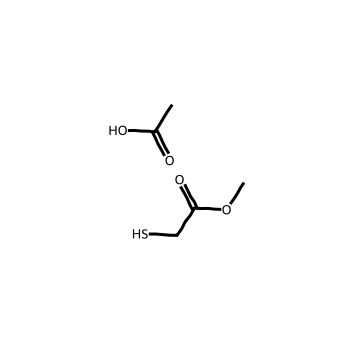 CC(=O)O.COC(=O)CS